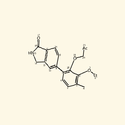 CCOc1c(C)ccc(-c2ccc3c(c2)CNC3=O)c1OCC(C)=O